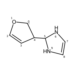 [C]1OC=CC1C1NC=CN1